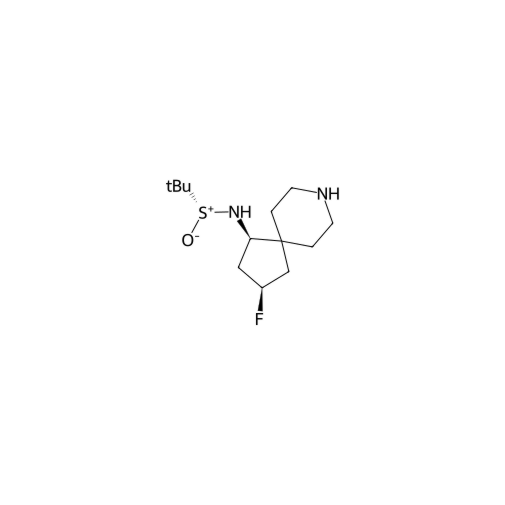 CC(C)(C)[S@@+]([O-])N[C@@H]1C[C@H](F)CC12CCNCC2